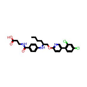 CCCCC(COc1ccc(-c2ccc(Cl)cc2Cl)cn1)Nc1ccc(C(=O)NCCC(=O)O)cc1